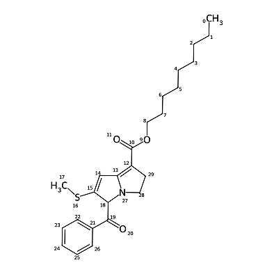 CCCCCCCCCOC(=O)C1=C2C=C(SC)C(C(=O)c3ccccc3)N2CC1